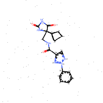 O=C1NC(=O)C(CNC(=O)c2cnn(-c3ccccc3)n2)(C2CCC2)N1